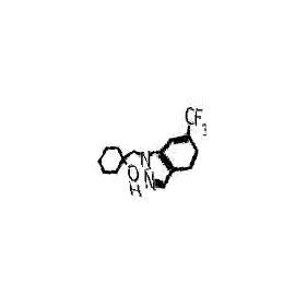 OC1(Cn2ncc3ccc(C(F)(F)F)cc32)CCCCC1